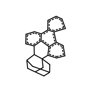 c1ccc2c(c1)c1cccc3c1c1c(cccc21)C12CC4CC(CC(C4)C31)C2